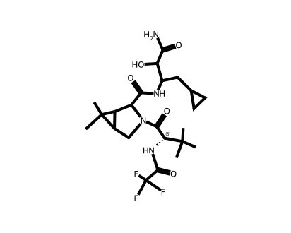 CC1(C)C2CN(C(=O)[C@@H](NC(=O)C(F)(F)F)C(C)(C)C)C(C(=O)NC(CC3CC3)C(O)C(N)=O)C21